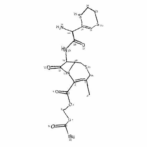 CC1=C(C(=O)OCOC(=O)C(C)(C)C)N2C(=O)C(NC(=O)C(N)C3=CSCCS3)C2SC1